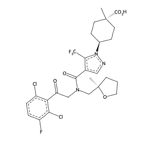 C[C@]1(CN(CC(=O)c2c(Cl)ccc(F)c2Cl)C(=O)c2cnn([C@H]3CC[C@](C)(C(=O)O)CC3)c2C(F)(F)F)CCCO1